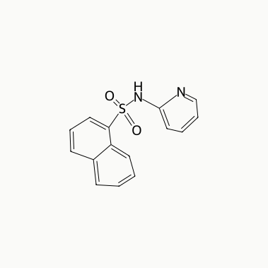 O=S(=O)(Nc1ccccn1)c1cccc2ccccc12